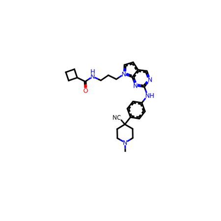 CN1CCC(C#N)(c2ccc(Nc3ncc4ccn(CCCNC(=O)C5CCC5)c4n3)cc2)CC1